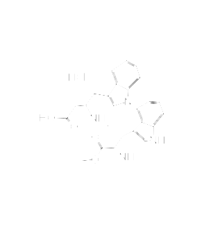 COC(=O)[C@@H](N)Cc1c[nH]c2ccccc12.Cl.NC(CC(=O)O)Cc1c[nH]c2ccccc12